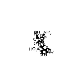 Nc1nc(N(C(=O)C=NO)[C@@H]2C(=O)N3C(C(=O)O)=C(C(CCF)=C4CCNC4=O)CS[C@H]23)cs1